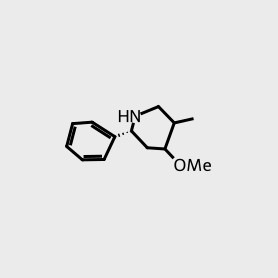 COC1C[C@H](c2ccccc2)NCC1C